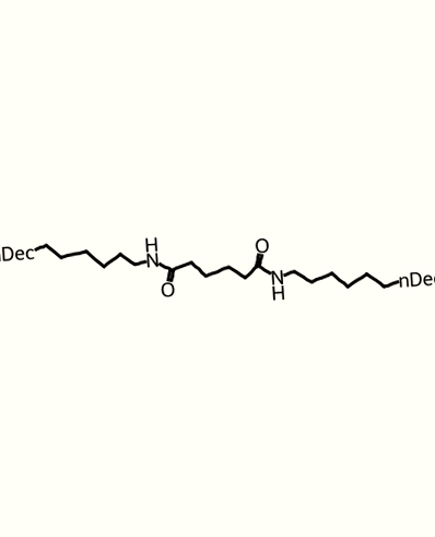 CCCCCCCCCCCCCCCCNC(=O)CCCCC(=O)NCCCCCCCCCCCCCCCC